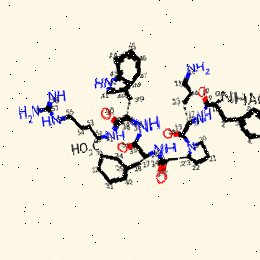 CC(=O)N[C@@H](Cc1ccccc1)C(=O)N[C@@H](CCCN)C(=O)N1CCC[C@H]1C(=O)N[C@H](CC1CCCCC1)C(=O)N[C@@H](Cc1c[nH]c2ccccc12)C(=O)N[C@@H](CCCNC(=N)N)C(=O)O